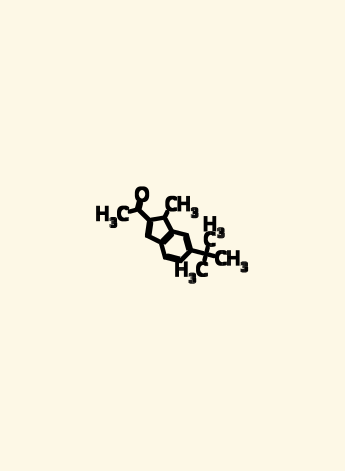 CC(=O)C1=Cc2ccc(C(C)(C)C)cc2C1C